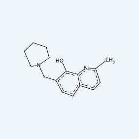 Cc1ccc2ccc(CN3CCCCC3)c(O)c2n1